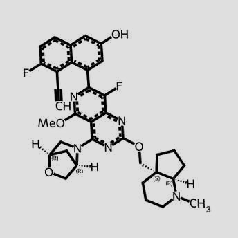 C#Cc1c(F)ccc2cc(O)cc(-c3nc(OC)c4c(N5C[C@H]6C[C@@H]5CO6)nc(OC[C@]56CCC[C@H]5N(C)CCC6)nc4c3F)c12